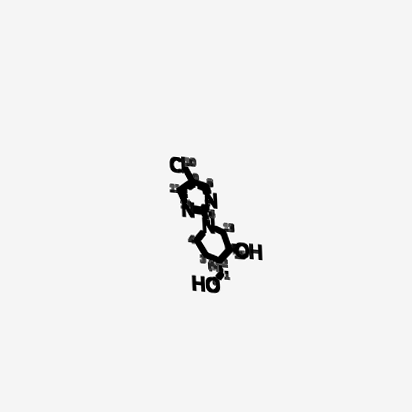 OC[C@@H]1CCN(c2ncc(Cl)cn2)C[C@@H]1O